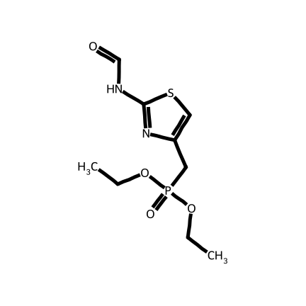 CCOP(=O)(Cc1csc(NC=O)n1)OCC